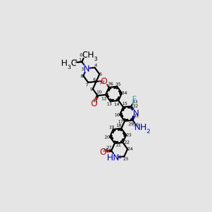 CC(C)N1CCC2(CC1)CC(=O)c1cc(-c3cc(-c4ccc5c(c4)CCNC5=O)c(N)nc3F)ccc1O2